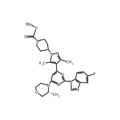 Cc1nn(C2CCN(C(=O)OC(C)(C)C)CC2)c(C(F)(F)F)c1-c1cc(N2CCOC[C@H]2C)nc(-n2cnc3cc(F)ccc32)n1